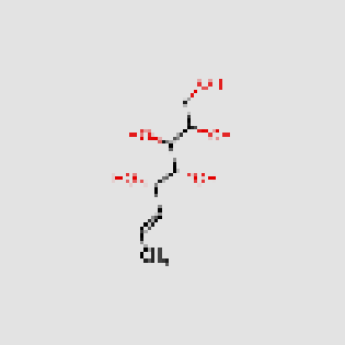 C/C=C/[C@H](O)[C@@H](O)[C@@H](O)[C@H](O)CO